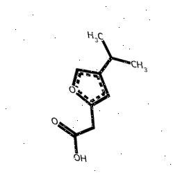 CC(C)c1coc(CC(=O)O)c1